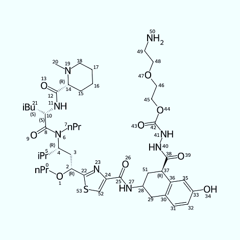 CCCO[C@H](C[C@H](C(C)C)N(CCC)C(=O)[C@@H](NC(=O)[C@H]1CCCCN1C)[C@@H](C)CC)c1nc(C(=O)NC2Cc3ccc(O)cc3[C@H](C(=O)NNC(=O)OCCOCCN)C2)cs1